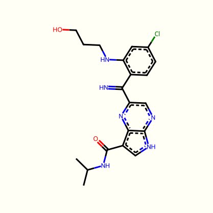 CC(C)NC(=O)c1c[nH]c2ncc(C(=N)c3ccc(Cl)cc3NCCCO)nc12